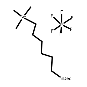 CCCCCCCCCCCCCCCC[P+](C)(C)C.F[P-](F)(F)(F)(F)F